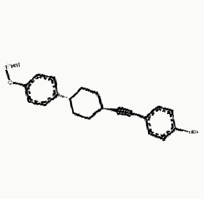 CCCCCOc1ccc([C@H]2CC[C@H](C#Cc3ccc(CCCC)cc3)CC2)cc1